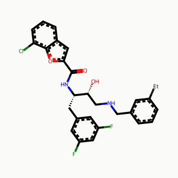 CCc1cccc(CNC[C@@H](O)[C@H](Cc2cc(F)cc(F)c2)NC(=O)c2cc3cccc(Cl)c3o2)c1